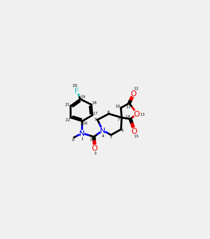 CN(C(=O)N1CCC2(CC1)CC(=O)OC2=O)c1ccc(F)cc1